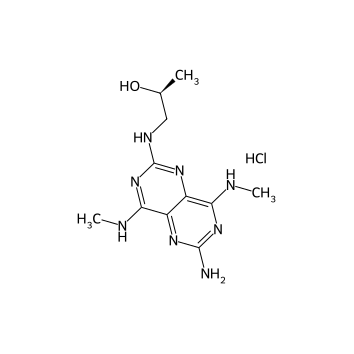 CNc1nc(NC[C@H](C)O)nc2c(NC)nc(N)nc12.Cl